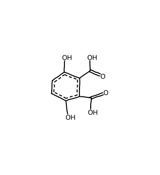 O=C(O)c1c(O)ccc(O)c1C(=O)O